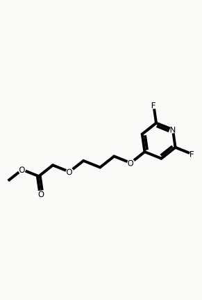 COC(=O)COCCCOc1cc(F)nc(F)c1